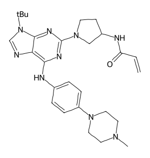 C=CC(=O)NC1CCN(c2nc(Nc3ccc(N4CCN(C)CC4)cc3)c3ncn(C(C)(C)C)c3n2)C1